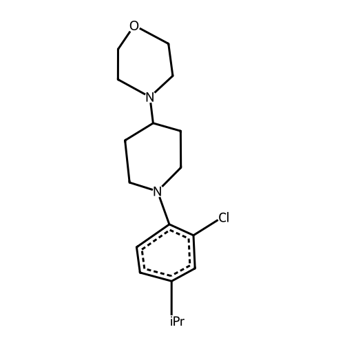 CC(C)c1ccc(N2CCC(N3CCOCC3)CC2)c(Cl)c1